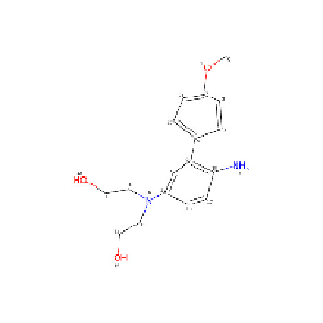 COc1ccc(-c2cc(N(CCO)CCO)ccc2N)cc1